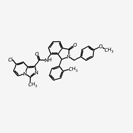 COc1ccc(CN2C(=O)c3cccc(NC(=O)c4nc(C)n5ccc(Cl)cc45)c3C2c2ccccc2C)cc1